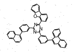 c1cc(-c2nc(-c3cccc(-c4cc5ccccc5c5ccccc45)c3)nc(-c3cccc4c3oc3ccccc34)n2)cc(-c2cccc3ccccc23)c1